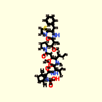 CCC(C)C(C(CC(=O)N1CCC[C@H]1C(OC)C(C)C(=O)NC(Cc1ccccc1)c1nccs1)OC)N(C)C(=O)C(NC(=O)[C@@H]1[C@H]2CC[C@H](C2)N1C(=O)O)C(C)C